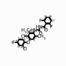 Cc1cc(Oc2ccc(F)cc2Cl)c(Cl)c(C)c1NC(=O)NC(=O)c1c(F)cccc1F